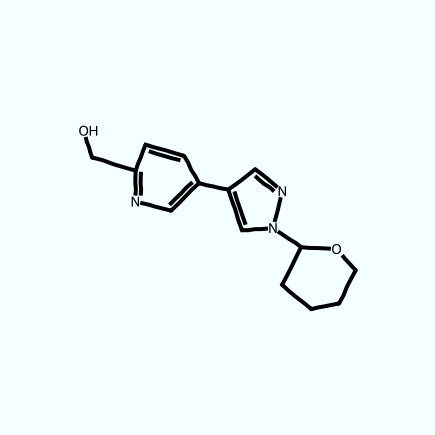 OCc1ccc(-c2cnn(C3CCCCO3)c2)cn1